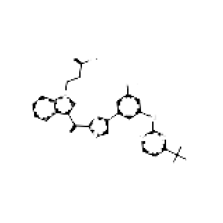 Cc1cc(Nc2nccc(C(F)(F)F)n2)cc(-c2cnc(C(=O)c3cn(CCC(=O)O)c4ccccc34)s2)c1